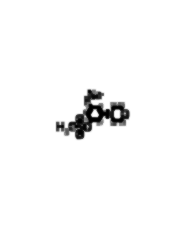 CS(=O)(=O)Oc1cc(F)cc(N2CCOCC2)c1.[Na]